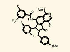 CNc1ncc(F)c2c3c(c(NC(=O)c4cc(F)cc(C(F)(F)F)c4)cc12)C(c1cc(F)ccc1Cl)N(Cc1ccc(OC)cc1)C3=O